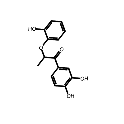 CC(Oc1ccccc1O)C(=O)c1ccc(O)c(O)c1